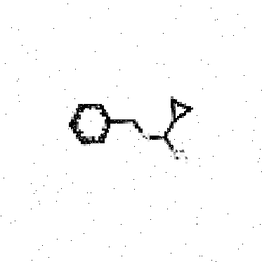 FC(F)(F)C(NCc1ccccc1)C1CC1